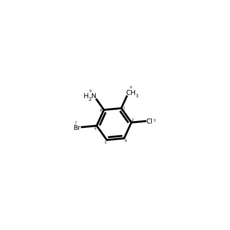 Cc1c(Cl)ccc(Br)c1N